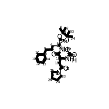 CC1(C)OB([C@H](CCCc2ccccc2)NC(=O)C(CC(=O)N2CCCC2)NC(=O)O)OC1(C)C